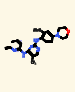 C=C/N=C(\C=C/C)Nc1nc(Nc2ccc(N3CCOCC3)cc2OC)ncc1C(F)(F)F